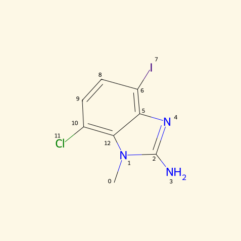 Cn1c(N)nc2c(I)ccc(Cl)c21